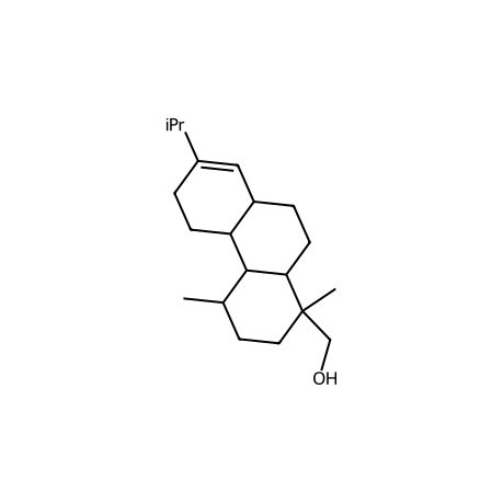 CC(C)C1=CC2CCC3C(C(C)CCC3(C)CO)C2CC1